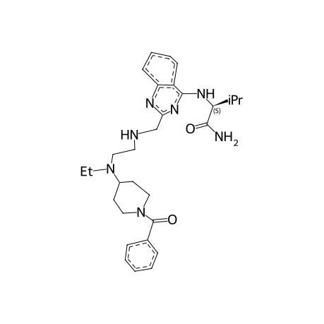 CCN(CCNCc1nc(N[C@H](C(N)=O)C(C)C)c2ccccc2n1)C1CCN(C(=O)c2ccccc2)CC1